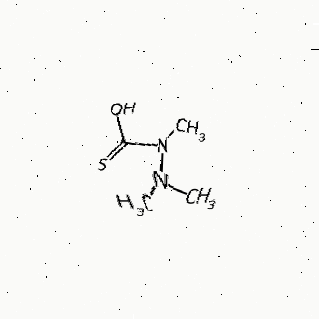 CN(C)N(C)C(O)=S